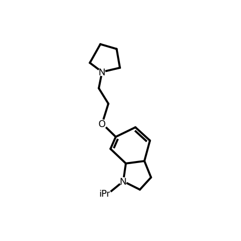 CC(C)N1CCC2C=CC(OCCN3CCCC3)=CC21